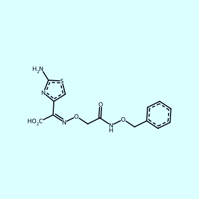 Nc1nc(C(=NOCC(=O)NOCc2ccccc2)C(=O)O)cs1